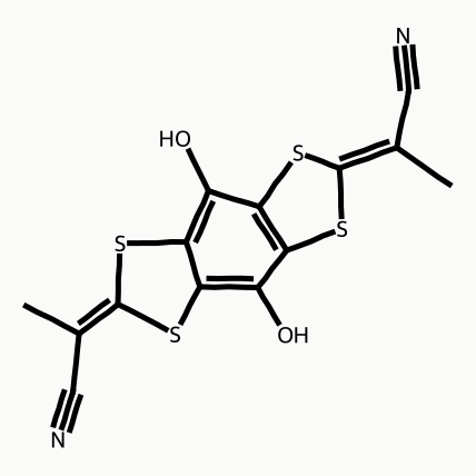 CC(C#N)=C1Sc2c(O)c3c(c(O)c2S1)SC(=C(C)C#N)S3